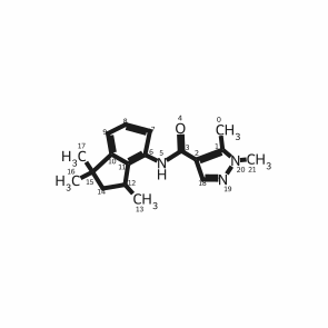 Cc1c(C(=O)Nc2cccc3c2C(C)CC3(C)C)cnn1C